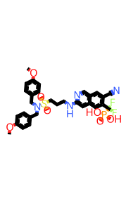 COc1ccc(CN(Cc2ccc(OC)cc2)S(=O)(=O)CCCNc2cc3cc(C(F)(F)P(=O)(O)O)c(C#N)cc3cn2)cc1